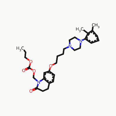 CCCOC(=O)OCN1C(=O)CCc2ccc(OCCCCN3CCN(c4cccc(C)c4C)CC3)cc21